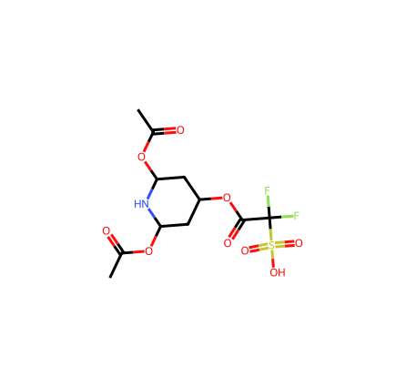 CC(=O)OC1CC(OC(=O)C(F)(F)S(=O)(=O)O)CC(OC(C)=O)N1